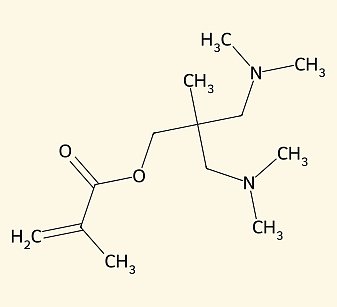 C=C(C)C(=O)OCC(C)(CN(C)C)CN(C)C